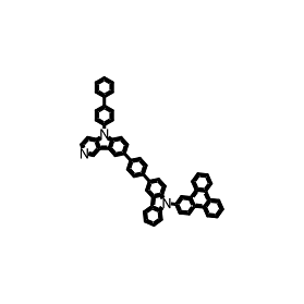 c1ccc(-c2ccc(-n3c4ccncc4c4cc(-c5ccc(-c6ccc7c(c6)c6ccccc6n7-c6ccc7c8ccccc8c8ccccc8c7c6)cc5)ccc43)cc2)cc1